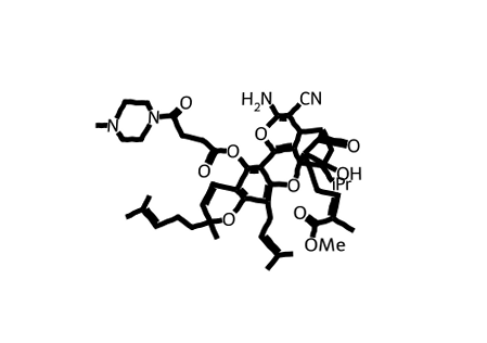 COC(=O)/C(C)=C\CC1(O)C(=O)C2CC(C(C)C)C13Oc1c(CC=C(C)C)c4c(c(OC(=O)CCC(=O)N5CCN(C)CC5)c1C1=C3C2C(C#N)=C(N)O1)C=CC(C)(CCC=C(C)C)O4